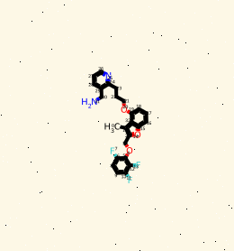 Cc1c(COc2c(F)ccc(F)c2F)oc2cccc(OCCCc3ncccc3CN)c12